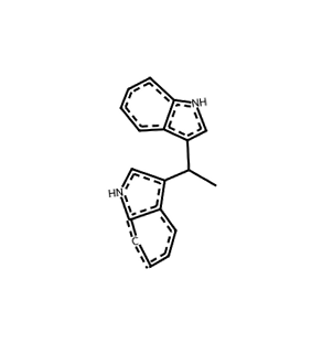 CC(c1c[nH]c2ccccc12)c1c[nH]c2ccccc12